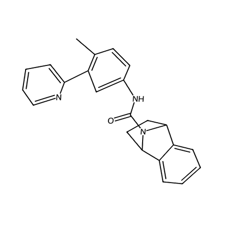 Cc1ccc(NC(=O)N2C3CCC2c2ccccc23)cc1-c1ccccn1